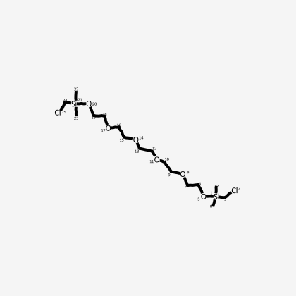 C[Si](C)(CCl)OCCOCCOCCOCCOCCO[Si](C)(C)CCl